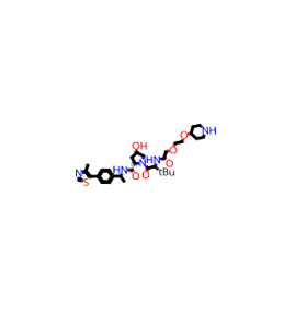 Cc1ncsc1-c1ccc(C(C)NC(=O)[C@@H]2C[C@@H](O)CN2C(=O)C(NC(=O)COCCOC2CCNCC2)C(C)(C)C)cc1